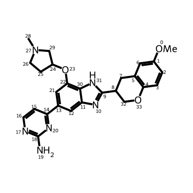 COc1ccc2c(c1)CC(c1nc3cc(-c4ccnc(N)n4)cc(OC4CCN(C)C4)c3[nH]1)CO2